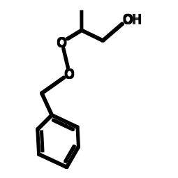 CC(CO)OOCc1ccccc1